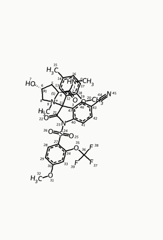 CNC(=O)[C@@H]1C[C@@H](O)C[N+]1(C)C1(c2cc(C)ccc2OC)C(=O)N(S(=O)(=O)c2ccc(OC)cc2OC(F)(F)F)c2ccc(C#N)cc21